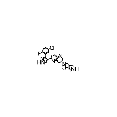 CN(CC1CNC1)c1cnc2ccc(-c3c[nH]nc3-c3cc(Cl)ccc3F)nc2c1